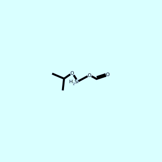 CC(C)O[SiH2]O[C]=O